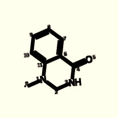 [CH2]N1CNC(=O)c2ccccc21